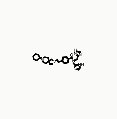 O=C(c1ccc(CCN2CCC3(CCN(C4CCCCC4)CC3)C2)cc1)N(Cc1ncc[nH]1)Cc1ncc[nH]1